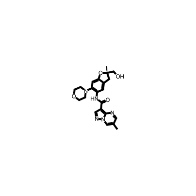 Cc1cnc2c(C(=O)Nc3cc4c(cc3N3CCOCC3)O[C@](C)(CO)C4)cnn2c1